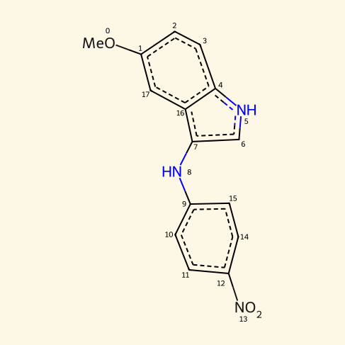 COc1ccc2[nH]cc(Nc3ccc([N+](=O)[O-])cc3)c2c1